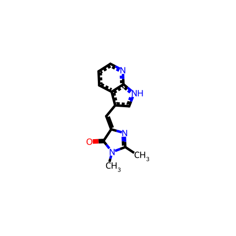 CC1=NC(=Cc2c[nH]c3ncccc23)C(=O)N1C